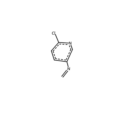 C=Nc1ccc(Cl)nc1